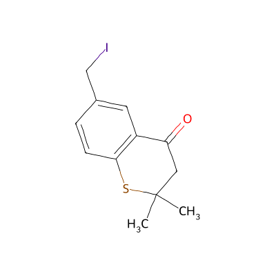 CC1(C)CC(=O)c2cc(CI)ccc2S1